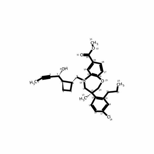 CC#C[C@H](O)[C@@H]1CC[C@H]1CN1C[C@](C)(c2ccc(Cl)cc2CCC)COc2ccc(C(=O)OC)cc21